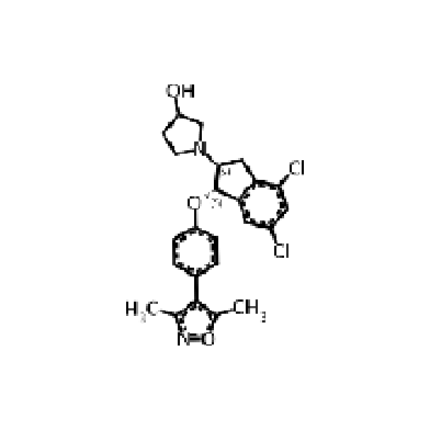 Cc1noc(C)c1-c1ccc(O[C@H]2c3cc(Cl)cc(Cl)c3C[C@@H]2N2CCC(O)C2)cc1